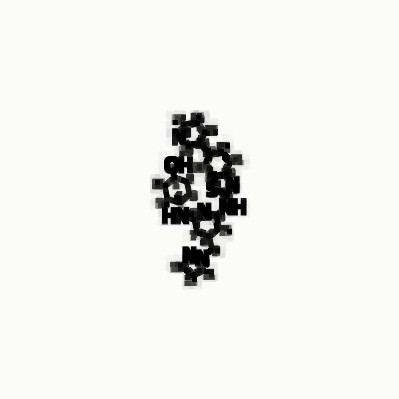 O[C@H]1CC[C@H](Nc2cc(Cn3cccn3)cc(Nc3nc4ccc(-c5cccnc5)cc4s3)n2)CC1